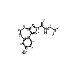 CC(C)CNC(=O)c1nc2c(s1)CCOc1cc(Br)ccc1-2